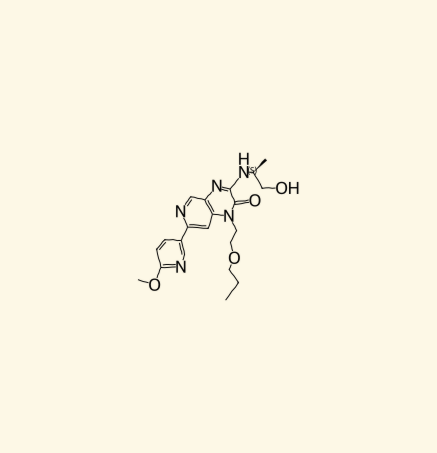 CCCOCCn1c(=O)c(N[C@@H](C)CO)nc2cnc(-c3ccc(OC)nc3)cc21